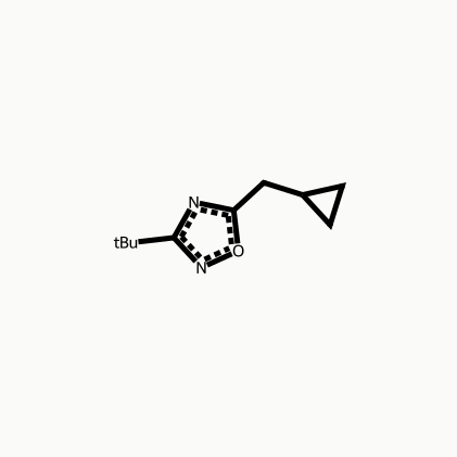 CC(C)(C)c1noc(CC2CC2)n1